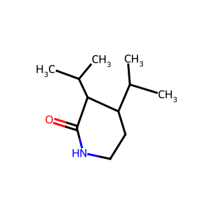 CC(C)C1CCNC(=O)C1C(C)C